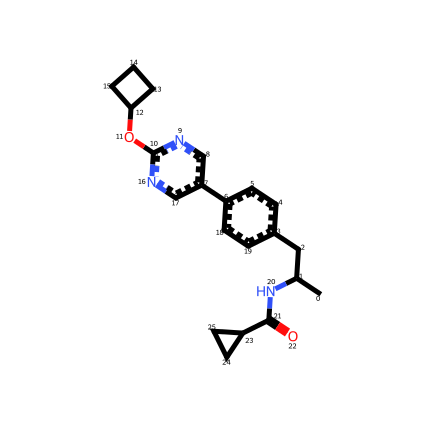 CC(Cc1ccc(-c2cnc(OC3CCC3)nc2)cc1)NC(=O)C1CC1